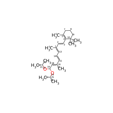 CC(C=CC1=C(C)CCCC1(C)C)=CC=CC(C)=CC(OC(C)C)OC(C)C